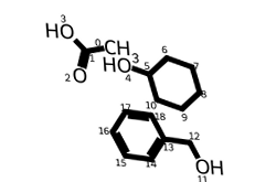 CC(=O)O.OC1CCCCC1.OCc1ccccc1